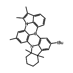 Cc1cc2c3c(c1)-n1c(C)c(C)c4cccc(c41)B3c1cc(C(C)(C)C)cc3c1N2C1(C)CCCCC31C